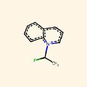 CC(F)[n+]1cccc2ccccc21